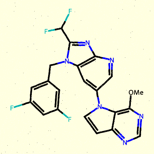 COc1ncnc2ccn(-c3cnc4nc(C(F)F)n(Cc5cc(F)cc(F)c5)c4c3)c12